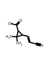 CC1(C)C(C=CC#N)C1C(=O)Cl